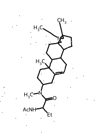 CCC(NC(C)=O)C(=O)N(C)C1CCC2(C)C(=CCC3C2CCC24CN(C)C(C)C2CCC34)C1